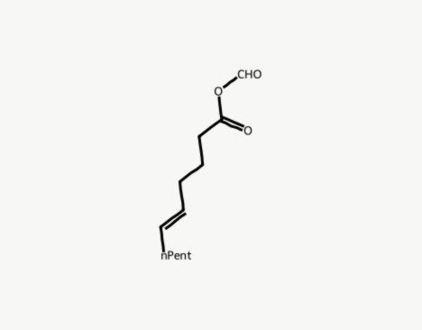 CCCCC/C=C/CCCC(=O)OC=O